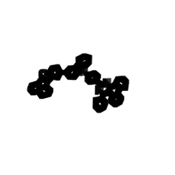 c1ccc(-c2nc(-c3ccc(-n4c5ccccc5c5cc(-c6ccc7oc8c(c7c6)-c6cccc7cccc-8c67)ccc54)cc3)nc3c4ccccc4c4ccccc4c23)cc1